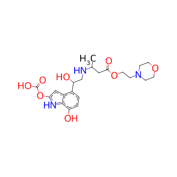 CC(CC(=O)OCCN1CCOCC1)NCC(O)c1ccc(O)c2[nH]c(OC(=O)O)cc12